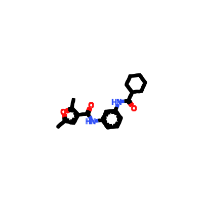 Cc1cc(C(=O)Nc2cccc(NC(=O)C3CCCCC3)c2)c(C)o1